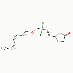 C\C=C/C=C\C=C\OCC(F)(F)/C=C/C1CCC(=O)C1